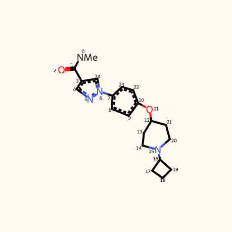 CNC(=O)c1cnn(-c2ccc(OC3CCN(C4CCC4)CC3)cc2)c1